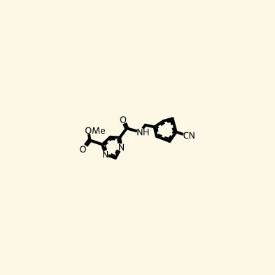 COC(=O)c1cc(C(=O)NCc2ccc(C#N)cc2)ncn1